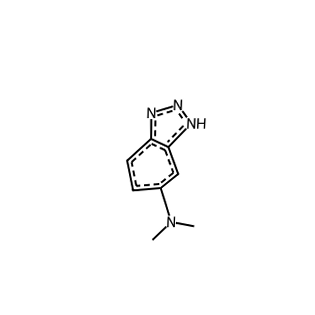 CN(C)c1ccc2nn[nH]c2c1